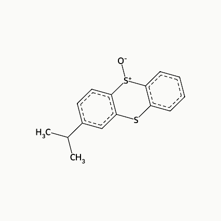 CC(C)c1ccc2c(c1)Sc1ccccc1[S+]2[O-]